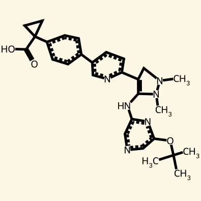 CN1CC(c2ccc(-c3ccc(C4(C(=O)O)CC4)cc3)cn2)=C(Nc2cncc(OC(C)(C)C)n2)N1C